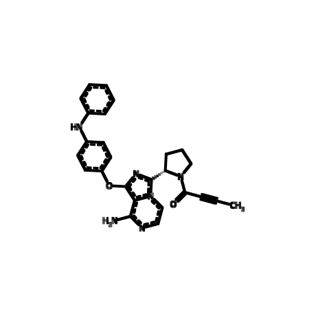 CC#CC(=O)N1CCC[C@H]1c1nc(Oc2ccc(Nc3ccccc3)cc2)c2c(N)nccn12